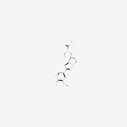 CC(C)(C)OC(=O)N1CC[C@@]2(CCn3nc(-c4cnc(N)c(OC(F)(F)F)c4)cc32)C1